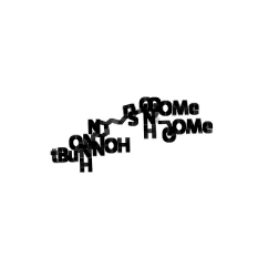 COC(=O)CC[C@H](NC(=O)c1ccc(CCc2cnc3nc(NC(=O)C(C)(C)C)nc(O)c3c2)s1)C(=O)OC